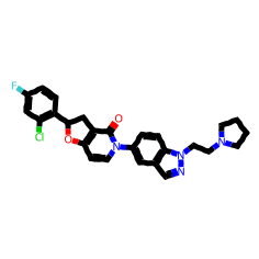 O=c1c2c(ccn1-c1ccc3c(cnn3CCN3CCCC3)c1)OC(c1ccc(F)cc1Cl)C2